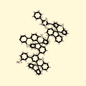 N#CC1=CC=C=CC1c1ccc2c(c1)C1(c3ccccc3-c3c(-c4cc(-c5cccc(C#N)c5)cc5c4Oc4ccccc4C54c5ccccc5-c5ccccc54)cccc31)c1cccc(-c3cccc4c3-c3ccccc3C43c4ccccc4Oc4ccc(-c5nnc(-c6ccccc6)o5)cc43)c1O2